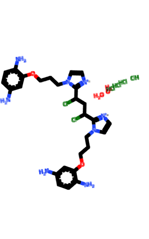 Cl.Cl.Cl.Cl.Nc1ccc(N)c(OCCCN2C=C[N+]=C2C(Cl)CC(Cl)C2=[N+]C=CN2CCCOc2cc(N)ccc2N)c1.O.O